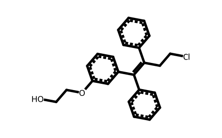 OCCOc1cccc(C(=C(CCCl)c2ccccc2)c2ccccc2)c1